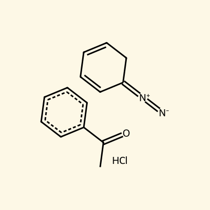 CC(=O)c1ccccc1.Cl.[N-]=[N+]=C1C=CC=CC1